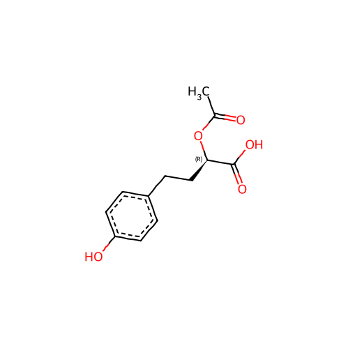 CC(=O)O[C@H](CCc1ccc(O)cc1)C(=O)O